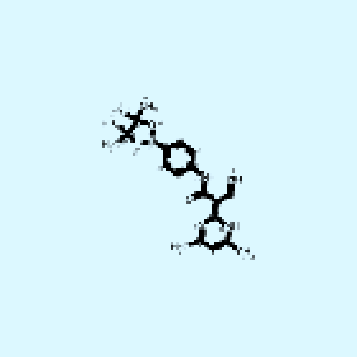 CC1=CC(C)=N/C(=C(/C=N)C(=O)Nc2ccc(B3OC(C)(C)C(C)(C)O3)cc2)N1